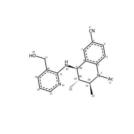 CC(=O)N1c2ccc(C#N)cc2[C@H](Nc2ncccc2CO)[C@@H](C)[C@@H]1C